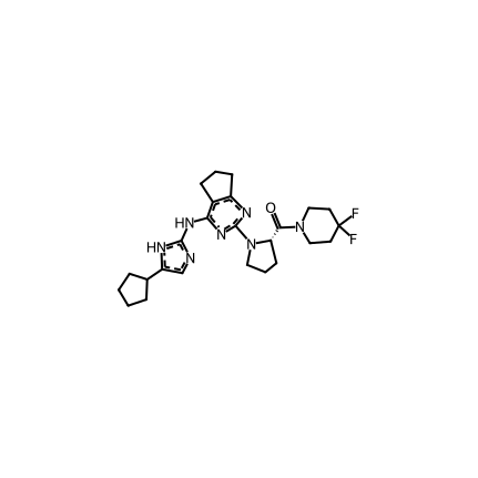 O=C([C@@H]1CCCN1c1nc2c(c(Nc3ncc(C4CCCC4)[nH]3)n1)CCC2)N1CCC(F)(F)CC1